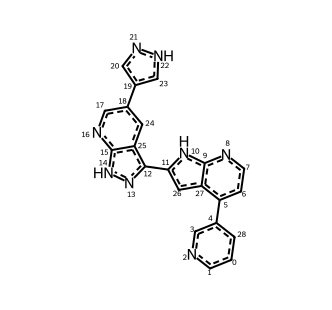 c1cncc(-c2ccnc3[nH]c(-c4n[nH]c5ncc(-c6cn[nH]c6)cc45)cc23)c1